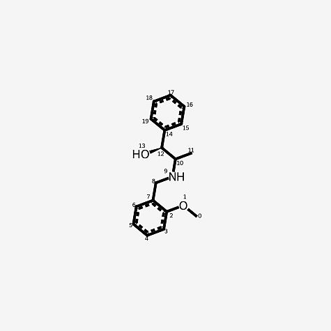 COc1ccccc1CNC(C)[C@@H](O)c1ccccc1